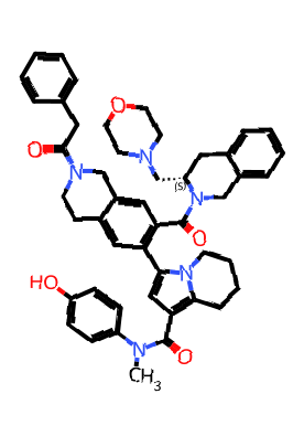 CN(C(=O)c1cc(-c2cc3c(cc2C(=O)N2Cc4ccccc4C[C@H]2CN2CCOCC2)CN(C(=O)Cc2ccccc2)CC3)n2c1CCCC2)c1ccc(O)cc1